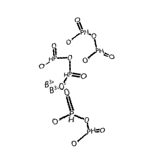 O=[PH]([O-])O[PH](=O)[O-].O=[PH]([O-])O[PH](=O)[O-].O=[PH]([O-])O[PH](=O)[O-].[B+3].[B+3]